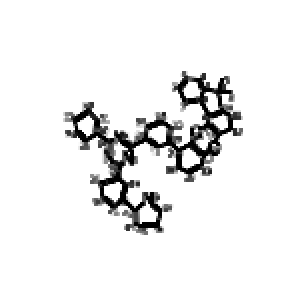 CC1(C)c2ccccc2-c2c1ccc1c2Oc2c(cccc2-c2cccc(-c3nc(-c4ccccc4)nc(-c4cccc(-c5ccccn5)c4)n3)c2)O1